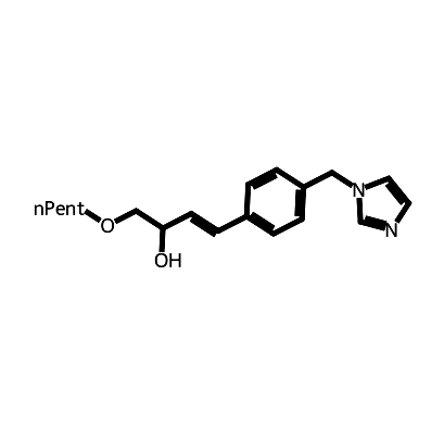 CCCCCOCC(O)/C=C/c1ccc(Cn2ccnc2)cc1